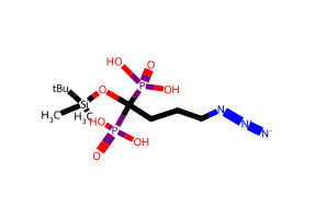 CC(C)(C)[Si](C)(C)OC(CCCN=[N+]=[N-])(P(=O)(O)O)P(=O)(O)O